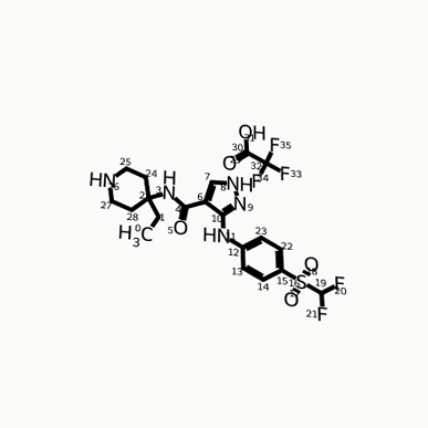 CCC1(NC(=O)c2c[nH]nc2Nc2ccc(S(=O)(=O)C(F)F)cc2)CCNCC1.O=C(O)C(F)(F)F